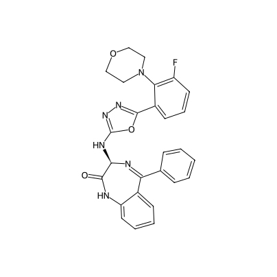 O=C1Nc2ccccc2C(c2ccccc2)=N[C@@H]1Nc1nnc(-c2cccc(F)c2N2CCOCC2)o1